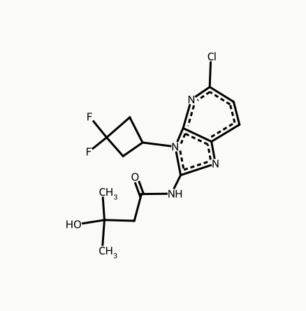 CC(C)(O)CC(=O)Nc1nc2ccc(Cl)nc2n1C1CC(F)(F)C1